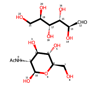 CC(=O)N[C@@H]1[C@@H](O)[C@H](O)[C@@H](CO)O[C@H]1O.O=C[C@@H](O)[C@@H](O)[C@H](O)[C@H](O)CO